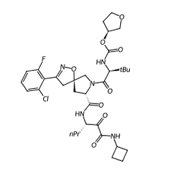 CCC[C@H](NC(=O)[C@@H]1C[C@]2(CC(c3c(F)cccc3Cl)=NO2)CN1C(=O)[C@@H](NC(=O)O[C@H]1CCOC1)C(C)(C)C)C(=O)C(=O)NC1CCC1